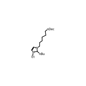 CCCCCCCCCCCCCCCCN1C=CN(CC)C1CCCC